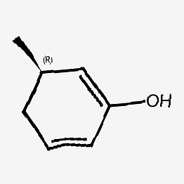 C[C@H]1C=C(O)C=CC1